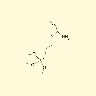 C=CC(N)NCCC[Si](OC)(OC)OC